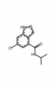 CC(C)NC(=O)c1cc(Cl)cc2[nH]ncc12